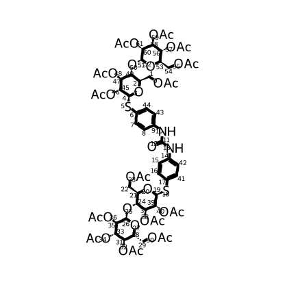 CC(=O)OC[C@H]1O[C@@H](Sc2ccc(NC(=O)Nc3ccc(S[C@@H]4O[C@H](COC(C)=O)[C@@H](O[C@H]5O[C@H](COC(C)=O)[C@@H](OC(C)=O)[C@H](OC(C)=O)[C@H]5OC(C)=O)[C@H](OC(C)=O)[C@H]4OC(C)=O)cc3)cc2)[C@H](OC(C)=O)[C@@H](OC(C)=O)[C@@H]1O[C@H]1O[C@H](COC(C)=O)[C@@H](OC(C)=O)[C@H](OC(C)=O)[C@H]1OC(C)=O